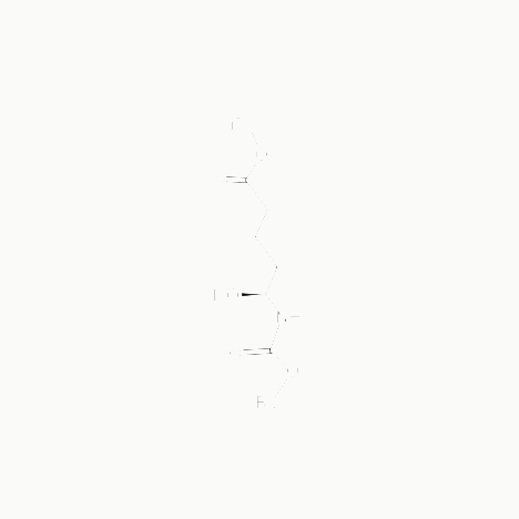 CC(C)OC(=O)CCC[C@H](O)NC(=O)OC(C)(C)C